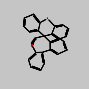 c1ccc2c(c1)Sc1ccccc1C21c2ccccc2-c2ccccc2-c2ccccc21